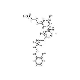 CN(CC(O)CNC(C)(C)CCCc1ccccc1F)S(=O)(=O)c1cc(F)cc(CCCC(=O)O)c1